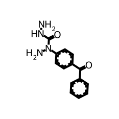 NNC(=O)N(N)c1ccc(C(=O)c2ccccc2)cc1